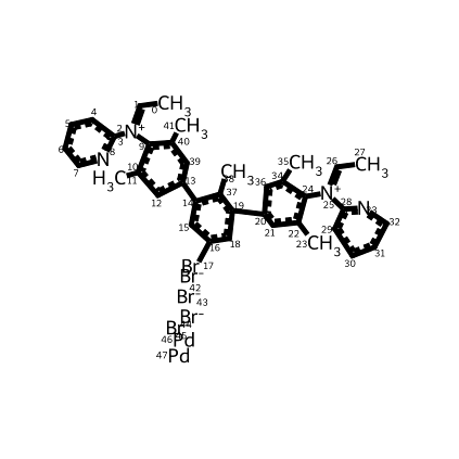 CC=[N+](c1ccccn1)c1c(C)cc(-c2cc(Br)cc(-c3cc(C)c([N+](=CC)c4ccccn4)c(C)c3)c2C)cc1C.[Br-].[Br-].[Br-].[Br-].[Pd].[Pd]